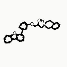 OC(COc1cccc(-c2cccc3c2oc2ccccc23)c1)CN1CCc2ccccc2C1